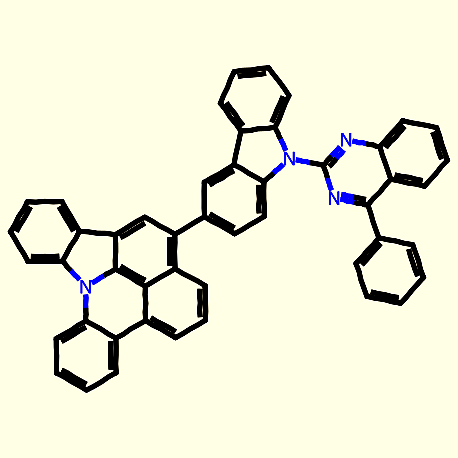 c1ccc(-c2nc(-n3c4ccccc4c4cc(-c5cc6c7ccccc7n7c8ccccc8c8cccc5c8c67)ccc43)nc3ccccc23)cc1